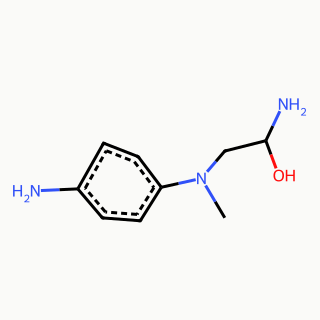 CN(CC(N)O)c1ccc(N)cc1